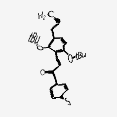 C=CCc1ccc(OC(C)(C)C)c(/C=C/C(=O)C2C=CC(=S)C=C2)c1OC(C)(C)C